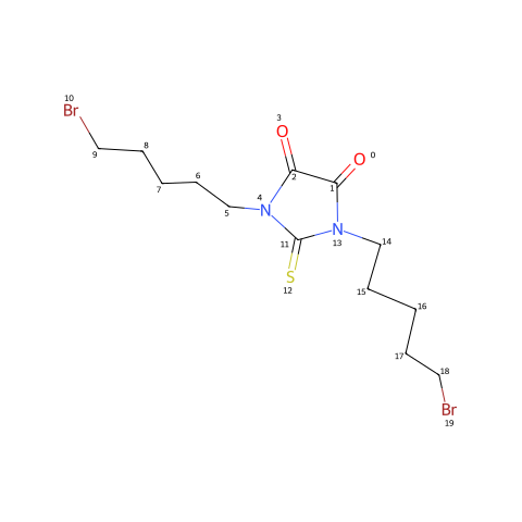 O=C1C(=O)N(CCCCCBr)C(=S)N1CCCCCBr